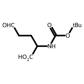 CC(C)(C)OC(=O)NC(CCC=O)C(=O)O